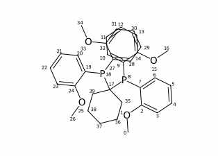 COc1ccccc1P(c1ccccc1OC)C1(P(c2ccccc2OC)c2ccccc2OC)CCCCC1